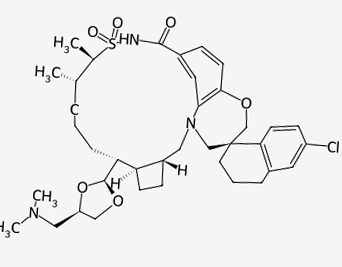 C[C@@H]1[C@@H](C)CCC[C@@H]([C@H]2OC[C@@H](CN(C)C)O2)[C@@H]2CC[C@H]2CN2C[C@@]3(CCCc4cc(Cl)ccc43)COc3ccc(cc32)C(=O)NS1(=O)=O